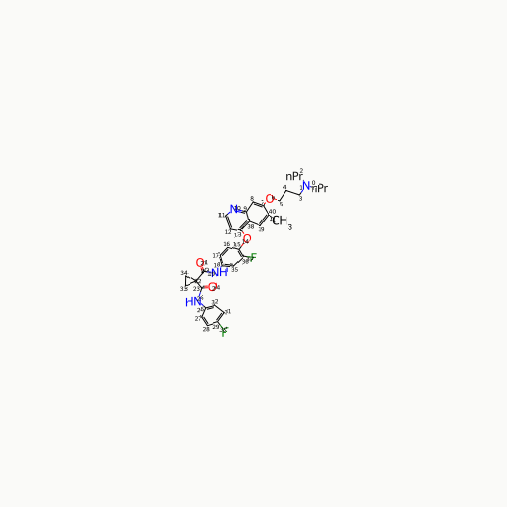 CCCN(CCC)CCCOc1cc2nccc(Oc3ccc(NC(=O)C4(C(=O)Nc5ccc(F)cc5)CC4)cc3F)c2cc1C